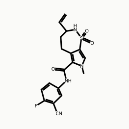 C=CC1CCc2c(cn(C)c2C(=O)Nc2ccc(F)c(C#N)c2)S(=O)(=O)N1